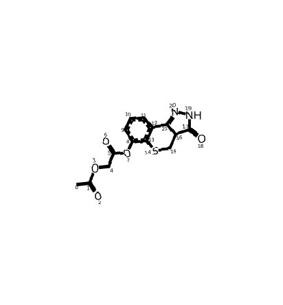 CC(=O)OCC(=O)Oc1cccc2c1SCC1C(=O)NN=C21